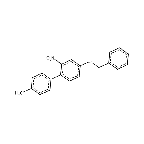 Cc1ccc(-c2ccc(OCc3ccccc3)cc2[N+](=O)[O-])cc1